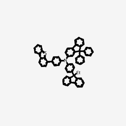 CCC1(c2ccc(N(c3ccc(-c4cccc5c4sc4ccccc45)cc3)c3ccc4c(c3)C(c3ccccc3)(c3ccccc3)c3ccccc3-4)cc2)c2ccccc2-c2ccccc21